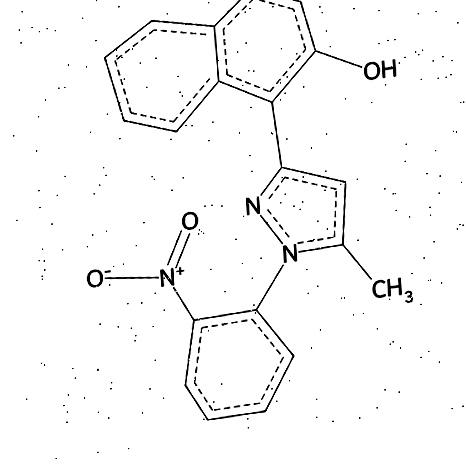 Cc1cc(-c2c(O)ccc3ccccc23)nn1-c1ccccc1[N+](=O)[O-]